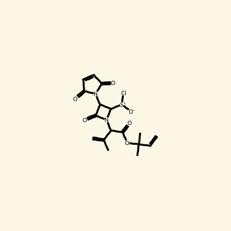 C=CC(C)(C)OC(=O)C(C(=C)C)N1C(=O)C(N2C(=O)C=CC2=O)C1[S+]([O-])Cl